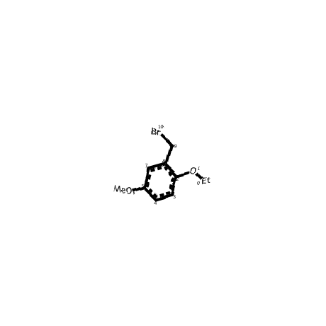 CCOc1ccc(OC)cc1CBr